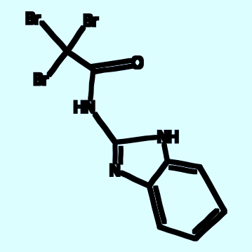 O=C(Nc1nc2ccccc2[nH]1)C(Br)(Br)Br